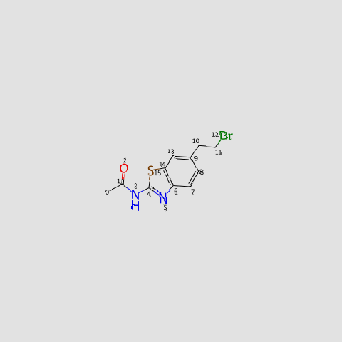 CC(=O)Nc1nc2ccc(CCBr)cc2s1